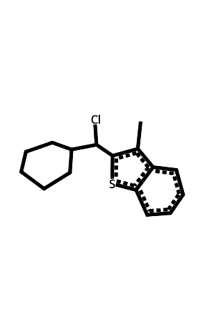 Cc1c(C(Cl)C2CCCCC2)sc2ccccc12